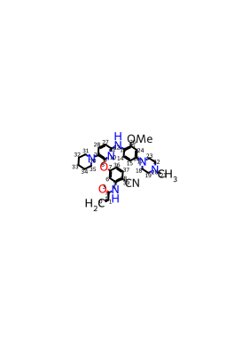 C=CC(=O)Nc1cc(Oc2nc(Nc3ccc(N4CCN(C)CC4)cc3OC)ccc2N2CCCCC2)ccc1C#N